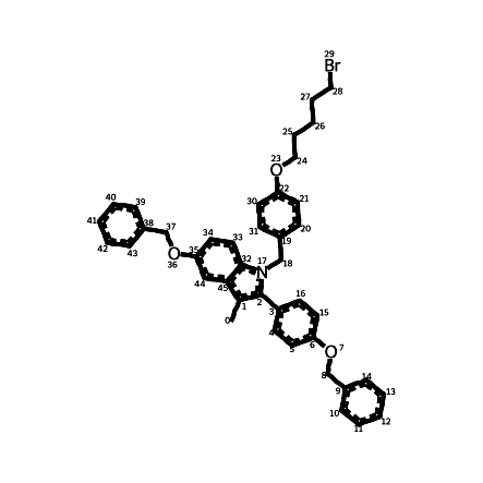 Cc1c(-c2ccc(OCc3ccccc3)cc2)n(Cc2ccc(OCCCCCBr)cc2)c2ccc(OCc3ccccc3)cc12